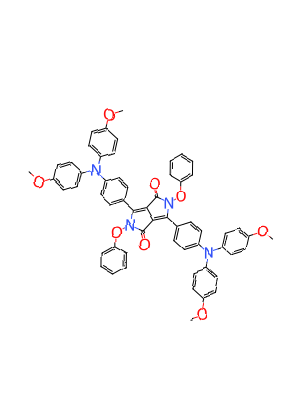 COc1ccc(N(c2ccc(OC)cc2)c2ccc(C3=C4C(=O)N(Oc5ccccc5)C(c5ccc(N(c6ccc(OC)cc6)c6ccc(OC)cc6)cc5)=C4C(=O)N3Oc3ccccc3)cc2)cc1